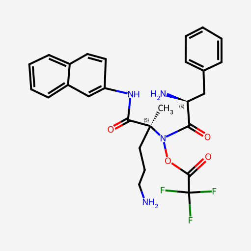 C[C@](CCCN)(C(=O)Nc1ccc2ccccc2c1)N(OC(=O)C(F)(F)F)C(=O)[C@@H](N)Cc1ccccc1